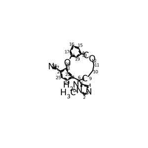 Cn1cncc1C1(N)CCCCOCc2cccc(c2)Oc2cc1ccc2C#N